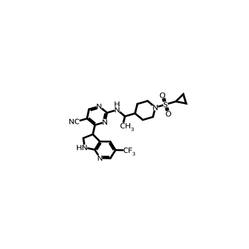 CC(Nc1ncc(C#N)c(C2CNc3ncc(C(F)(F)F)cc32)n1)C1CCN(S(=O)(=O)C2CC2)CC1